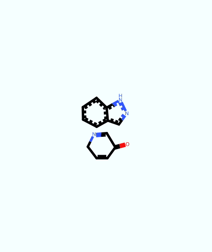 O=C1C=CCN=C1.c1ccc2[nH]ncc2c1